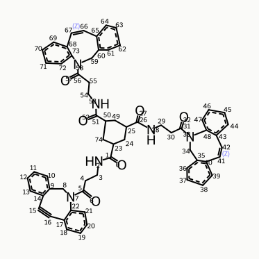 O=C(NCCC(=O)N1Cc2ccccc2C#Cc2ccccc21)C1CC(C(=O)NCCC(=O)N2Cc3ccccc3/C=C\c3ccccc32)CC(C(=O)NCCC(=O)N2Cc3ccccc3/C=C\c3ccccc32)C1